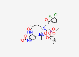 CCOP(=O)(CC(=O)N(CCC(=O)c1cccc(Cl)c1F)[C@H]1CCC[C@@H](C)C(=O)Nc2cc(NC(=O)OC)ccc2-c2nc1n(COCC[Si](C)(C)C)c2C)OCC